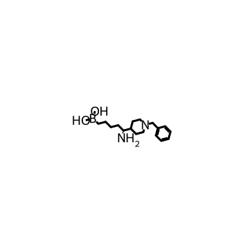 N[C@H](CCCCB(O)O)C1CCN(Cc2ccccc2)CC1